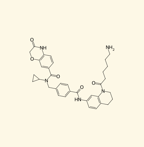 NCCCCCC(=O)N1CCCc2ccc(NC(=O)c3ccc(CN(C(=O)c4ccc5c(c4)OCC(=O)N5)C4CC4)cc3)cc21